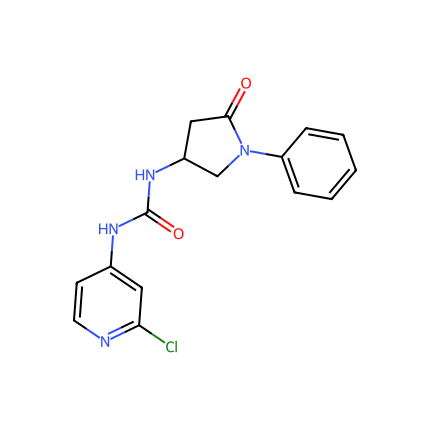 O=C(Nc1ccnc(Cl)c1)NC1CC(=O)N(c2ccccc2)C1